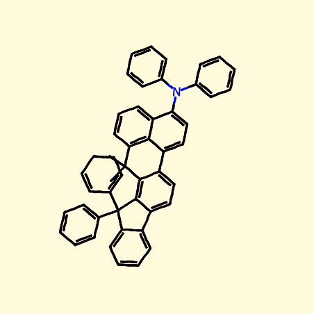 CC1(C)c2c(ccc3c2C(C2=CCCC=C2)(c2ccccc2)c2ccccc2-3)-c2ccc(N(c3ccccc3)c3ccccc3)c3cccc1c23